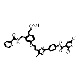 Cc1oc(-c2ccc(NC(=O)c3cc(Cl)sc3Cl)cc2)nc1CCOc1ccc(CCC(=O)O)c(CNC(=O)c2ccccn2)c1